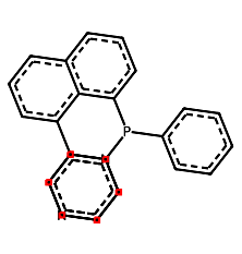 c1ccc(P(c2ccccc2)c2cccc3cccc(-c4cnccn4)c23)cc1